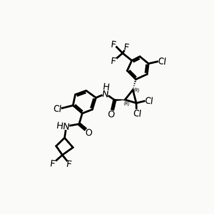 O=C(NC1CC(F)(F)C1)c1cc(NC(=O)[C@H]2[C@H](c3cc(Cl)cc(C(F)(F)F)c3)C2(Cl)Cl)ccc1Cl